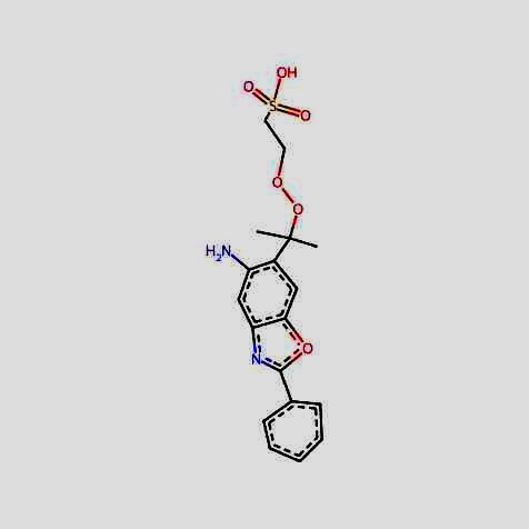 CC(C)(OOCCS(=O)(=O)O)c1cc2oc(-c3ccccc3)nc2cc1N